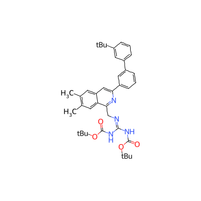 Cc1cc2cc(-c3cccc(-c4cccc(C(C)(C)C)c4)c3)nc(CN=C(NC(=O)OC(C)(C)C)NC(=O)OC(C)(C)C)c2cc1C